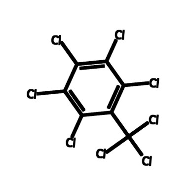 Clc1c(Cl)c(Cl)c(C(Cl)(Cl)Cl)c(Cl)c1Cl